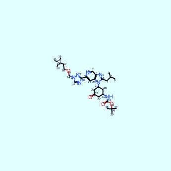 CC(C)Cc1nc2cnc(-c3ncn(COCC[Si](C)(C)C)n3)cc2n1C1CC(=O)CC(NC(=O)OC(C)(C)C)C1